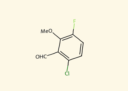 COc1c(F)ccc(Cl)c1C=O